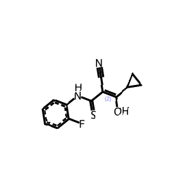 N#C/C(C(=S)Nc1ccccc1F)=C(/O)C1CC1